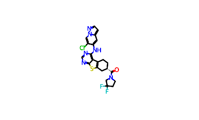 O=C([C@H]1CCc2c(sc3ncnc(Nc4cc5ccnn5cc4Cl)c23)C1)N1CCC(F)(F)C1